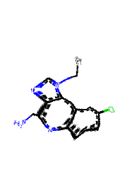 CC(C)Cn1cnc2c(N)nc3ccc(Cl)cc3c21